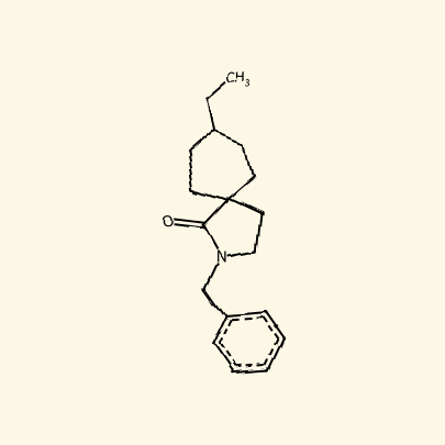 CCC1CCC2(CC1)CCN(Cc1ccccc1)C2=O